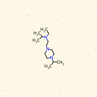 CCN(CCN1CCN(C(C)C)CC1)C(C)C